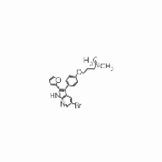 CN(C)CCCOc1ccc(-c2c(-c3ccco3)[nH]c3ncc(Br)cc23)cc1